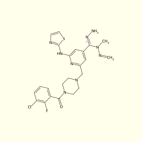 C=NN(C)/C(=N\N)c1cc(CN2CCN(C(=O)c3cccc(Cl)c3F)CC2)nc(Nc2nccs2)c1